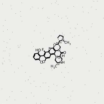 C[C@@H]1CN2c3c4c(nc5c(F)c(-c6c(O)cccc6Cl)c(Cl)cc35)O[C@@H]([C@@H]3CCCN3C)CN4C(=O)[C@H]2CN1